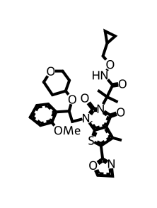 COc1ccccc1C(Cn1c(=O)n(C(C)(C)C(=O)NOCC2CC2)c(=O)c2c(C)c(-c3ncco3)sc21)OC1CCOCC1